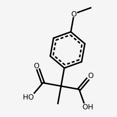 COc1ccc(C(C)(C(=O)O)C(=O)O)cc1